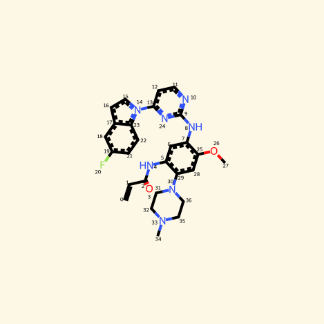 C=CC(=O)Nc1cc(Nc2nccc(-n3ccc4cc(F)ccc43)n2)c(OC)cc1N1CCN(C)CC1